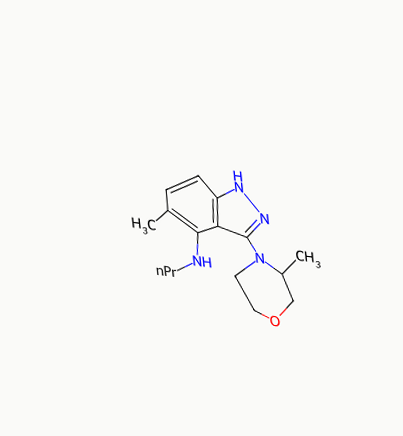 CCCNc1c(C)ccc2[nH]nc(N3CCOCC3C)c12